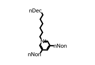 CCCCCCCCCCCCCCCC[n+]1cc(CCCCCCCCC)cc(CCCCCCCCC)c1